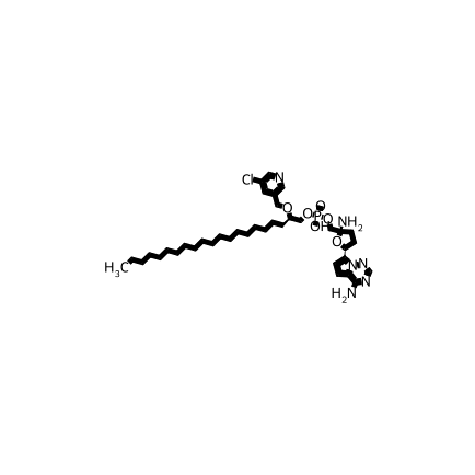 CCCCCCCCCCCCCCCCCCC[C@H](COP(=O)(O)OC[C@]1(N)CC[C@H](c2ccc3c(N)ncnn23)O1)OCc1cncc(Cl)c1